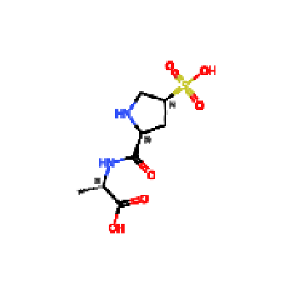 C[C@H](NC(=O)[C@@H]1C[C@H](S(=O)(=O)O)CN1)C(=O)O